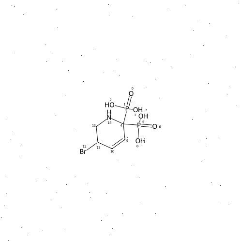 O=P(O)(O)C1(P(=O)(O)O)C=CC(Br)CN1